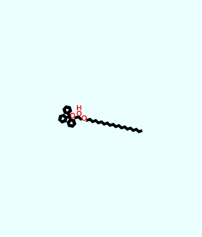 CCCCCCCCCCCCCCCCCCCCOCC(O)COC(c1ccccc1)(c1ccccc1)c1ccccc1